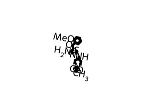 COc1ccccc1C(=O)c1sc(NC2CCN(S(C)(=O)=O)CC2)nc1N